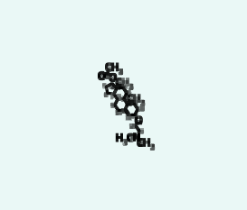 CC(=O)O[C@H]1CCC2C3CCC4=C[C@@H](OCCN(C)C)CC[C@]4(C)C3CC[C@@]21C